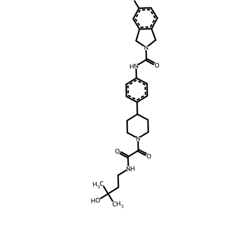 CC(C)(O)CCNC(=O)C(=O)N1CCC(c2ccc(NC(=O)N3Cc4ccc(F)cc4C3)cc2)CC1